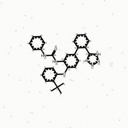 CC(C)(C)c1ccccc1Oc1ccc(-c2ccccc2-c2nnn[nH]2)cc1NC(=O)Nc1ccccc1